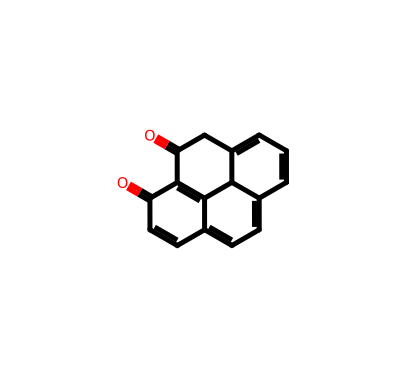 O=C1C=CC2=CC=C3C=CC=C4CC(=O)C1=C2C34